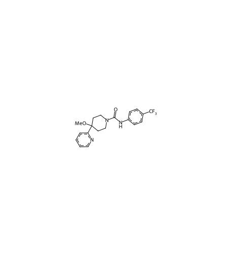 COC1(c2ccccn2)CCN(C(=O)Nc2ccc(C(F)(F)F)cc2)CC1